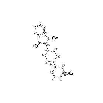 O=C1c2ccccc2C(=O)N1C1CC[C](c2cccc(Cl)c2)CC1